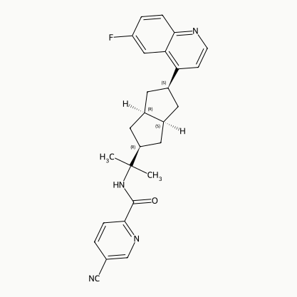 CC(C)(NC(=O)c1ccc(C#N)cn1)[C@H]1C[C@H]2C[C@@H](c3ccnc4ccc(F)cc34)C[C@H]2C1